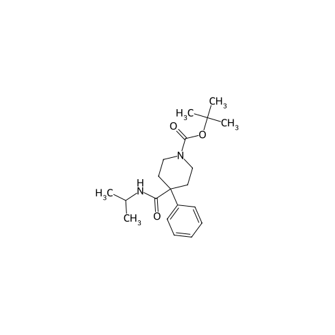 CC(C)NC(=O)C1(c2ccccc2)CCN(C(=O)OC(C)(C)C)CC1